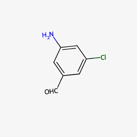 Nc1cc(Cl)cc(C=O)c1